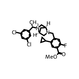 COC(=O)c1cc(C2CC2)c(CN2C[C@@H]3C[C@H]2CN3[C@H](C)c2cc(Cl)cc(Cl)c2)cc1F